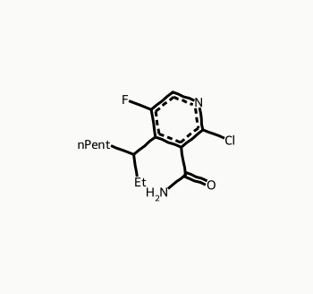 CCCCCC(CC)c1c(F)cnc(Cl)c1C(N)=O